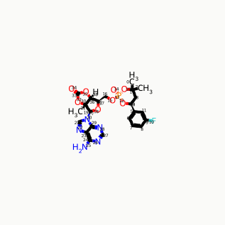 CC1(C)C[C@@H](c2cccc(F)c2)OP(=O)(OC[C@H]2O[C@@H](n3cnc4c(N)ncnc43)[C@]3(C)OC(=O)O[C@H]23)O1